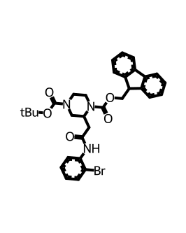 CC(C)(C)OC(=O)N1CCN(C(=O)OCC2c3ccccc3-c3ccccc32)C(CC(=O)Nc2ccccc2Br)C1